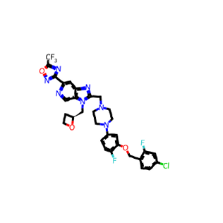 Fc1cc(Cl)ccc1COc1cc(N2CCN(Cc3nc4cc(-c5noc(C(F)(F)F)n5)ncc4n3C[C@@H]3CCO3)CC2)ccc1F